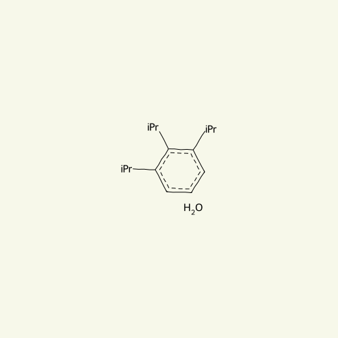 CC(C)c1cccc(C(C)C)c1C(C)C.O